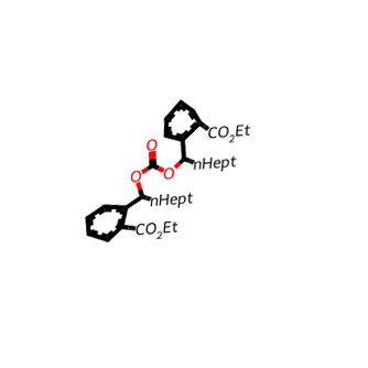 CCCCCCCC(OC(=O)OC(CCCCCCC)c1ccccc1C(=O)OCC)c1ccccc1C(=O)OCC